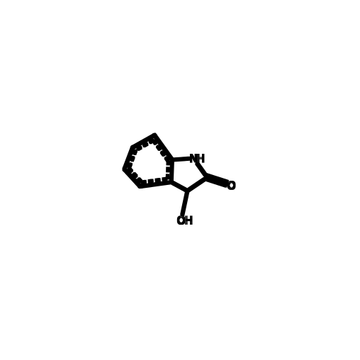 O=C1Nc2ccccc2C1O